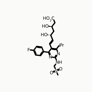 CC(C)c1nc(NCS(C)(=O)=O)nc(-c2ccc(F)cc2)c1/C=C/[C@H](O)C[C@@H](O)CC(=O)O